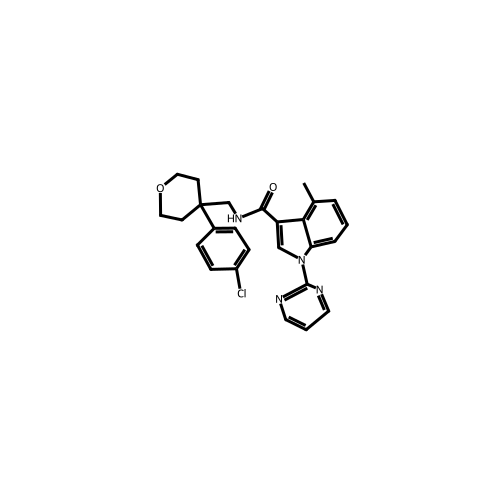 Cc1cccc2c1c(C(=O)NCC1(c3ccc(Cl)cc3)CCOCC1)cn2-c1ncccn1